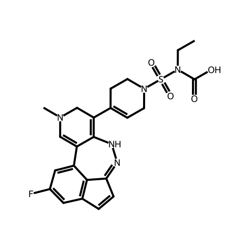 CCN(C(=O)O)S(=O)(=O)N1CC=C(C2=C3NN=C4C=Cc5cc(F)cc(c54)C3=CN(C)C2)CC1